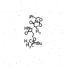 CC(C(=O)N1C(=O)OC[C@@H]1C(C)C)[C@H]1NC(=O)[C@@H]1CCO[Si](C)(C)C(C)(C)C